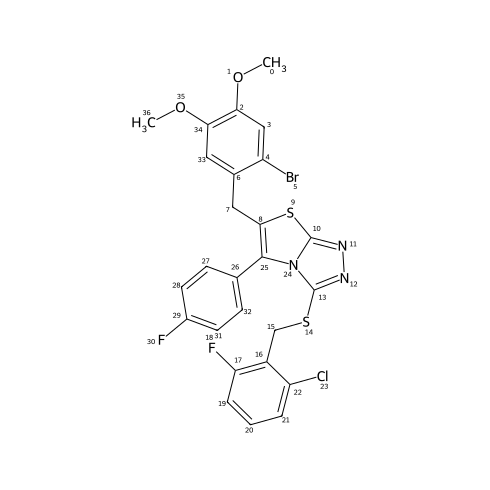 COc1cc(Br)c(Cc2sc3nnc(SCc4c(F)cccc4Cl)n3c2-c2ccc(F)cc2)cc1OC